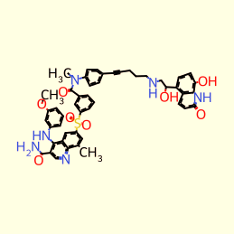 COc1cccc(Nc2c(C(N)=O)cnc3c(C)cc(S(=O)(=O)c4cccc(C(=O)N(C)c5ccc(C#CCCCNCC(O)c6ccc(O)c7[nH]c(=O)ccc67)cc5)c4)cc23)c1